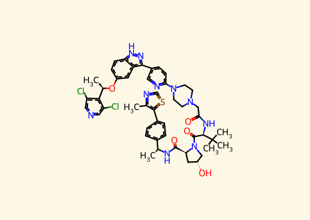 Cc1ncsc1-c1ccc([C@H](C)NC(=O)[C@@H]2C[C@@H](O)CN2C(=O)[C@@H](NC(=O)CN2CCN(c3ccc(-c4n[nH]c5ccc(O[C@H](C)c6c(Cl)cncc6Cl)cc45)cn3)CC2)C(C)(C)C)cc1